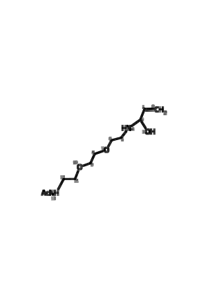 C=CC(O)NCCOCCOCCNC(C)=O